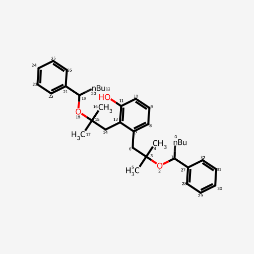 CCCCC(OC(C)(C)Cc1cccc(O)c1CC(C)(C)OC(CCCC)c1ccccc1)c1ccccc1